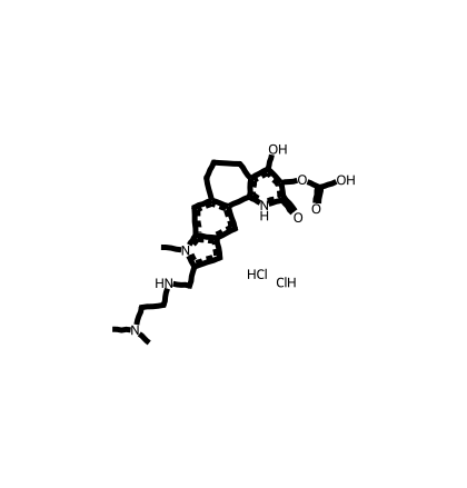 CN(C)CCNCc1cc2cc3c(cc2n1C)CCCc1c-3[nH]c(=O)c(OC(=O)O)c1O.Cl.Cl